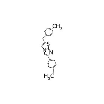 CCc1ccc(-c2cn3cc(Cc4ccc(C)cc4)sc3n2)cc1